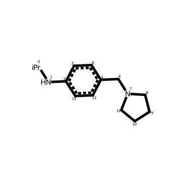 CC(C)Nc1ccc(CN2CCCC2)cc1